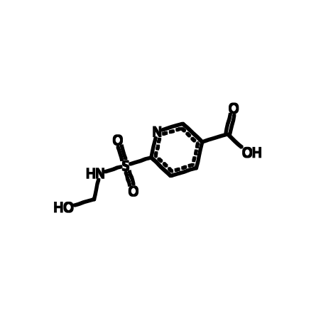 O=C(O)c1ccc(S(=O)(=O)NCO)nc1